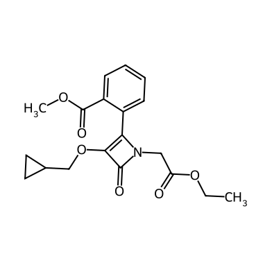 CCOC(=O)CN1C(=O)C(OCC2CC2)=C1c1ccccc1C(=O)OC